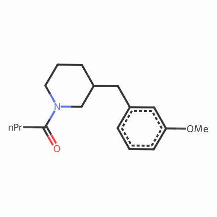 CCCC(=O)N1CCCC(Cc2cccc(OC)c2)C1